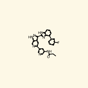 CCC(=O)Nc1cncc(-c2cc3c(-c4nc5c(-c6cccc(F)c6)cccc5[nH]4)n[nH]c3cn2)c1